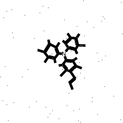 C/C=C/c1c(C)c(C)c(N(c2c(C)c(C)c(C)c(C)c2C)c2c(C)c(C)c(C)c(C)c2C)c(C)c1C